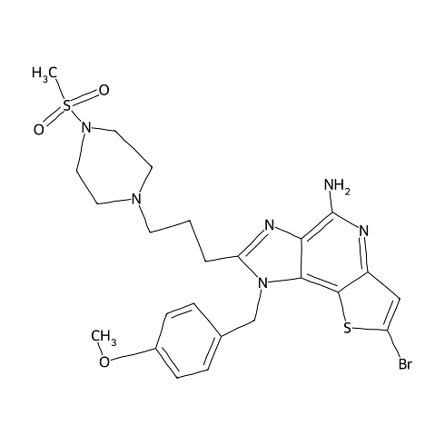 COc1ccc(Cn2c(CCCN3CCN(S(C)(=O)=O)CC3)nc3c(N)nc4cc(Br)sc4c32)cc1